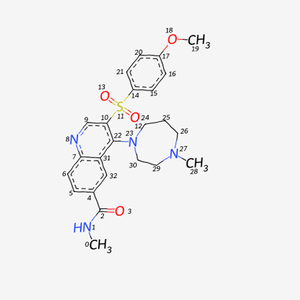 CNC(=O)c1ccc2ncc(S(=O)(=O)c3ccc(OC)cc3)c(N3CCCN(C)CC3)c2c1